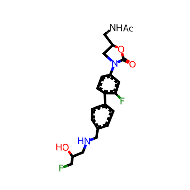 CC(=O)NCC1CN(c2ccc(-c3ccc(CNCC(O)CF)cc3)c(F)c2)C(=O)O1